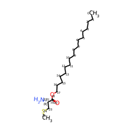 CCCCCCCCCCCCCCCCCCOC(=O)[C@@H](N)CSC